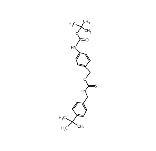 CC(C)(C)OC(=O)Nc1ccc(COC(=S)NCc2ccc(C(C)(C)C)cc2)cc1